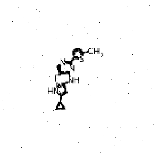 Cc1ccc(-c2ncc(F)c(Nc3cc(C4CC4)[nH]n3)n2)s1